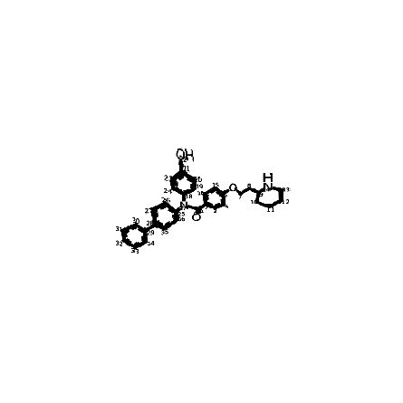 O=C(c1ccc(OCCC2CCCCN2)cc1)N(c1ccc(O)cc1)c1ccc(-c2ccccc2)cc1